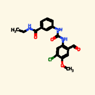 CCNC(=O)c1cccc(NC(=O)Nc2cc(Cl)c(OC)cc2C=O)c1